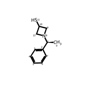 C[C@@H](c1ccccc1)N1CC(S)C1